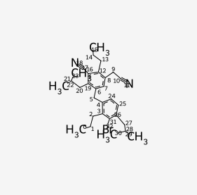 CCCc1c(Cc2cc(CC#N)c(CCC)c(C#N)c2CC(C)C)ccc(CC(C)C)c1Br